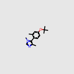 Cc1cc(OC(C)(C)C)ccc1-c1c(C)ncn1C